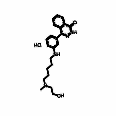 CN(CCO)CCCCCNc1cccc(-c2n[nH]c(=O)c3ccccc23)c1.Cl